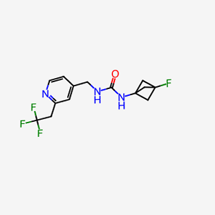 O=C(NCc1ccnc(CC(F)(F)F)c1)NC12CC(F)(C1)C2